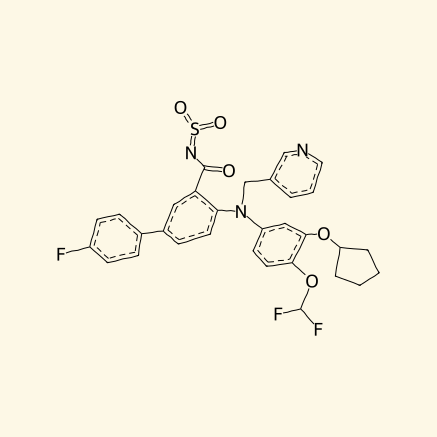 O=C(N=S(=O)=O)c1cc(-c2ccc(F)cc2)ccc1N(Cc1cccnc1)c1ccc(OC(F)F)c(OC2CCCC2)c1